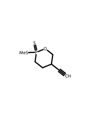 C#CC1CCP(=S)(SC)OC1